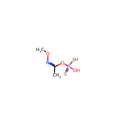 CON=C(C)OP(O)(=S)S